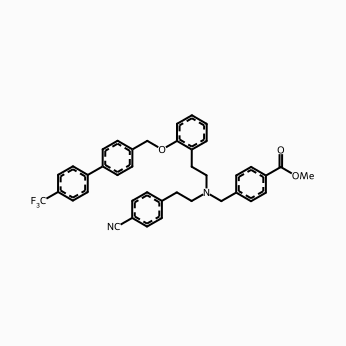 COC(=O)c1ccc(CN(CCc2ccc(C#N)cc2)CCc2ccccc2OCc2ccc(-c3ccc(C(F)(F)F)cc3)cc2)cc1